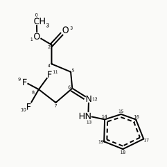 COC(=O)CCC(CC(F)(F)F)=NNc1ccccc1